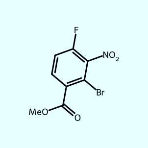 COC(=O)c1ccc(F)c([N+](=O)[O-])c1Br